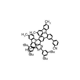 Cc1ccc2c(c1)c1cc(C)ccc1n2-c1ccc(-c2cccc(C#N)c2)cc1-c1ccc(-n2c3ccc(C)cc3c3cc(C)ccc32)c(-c2nc(-c3cc(C(C)(C)C)cc(C(C)(C)C)c3)nc(-c3cc(C(C)(C)C)cc(C(C)(C)C)c3)n2)c1